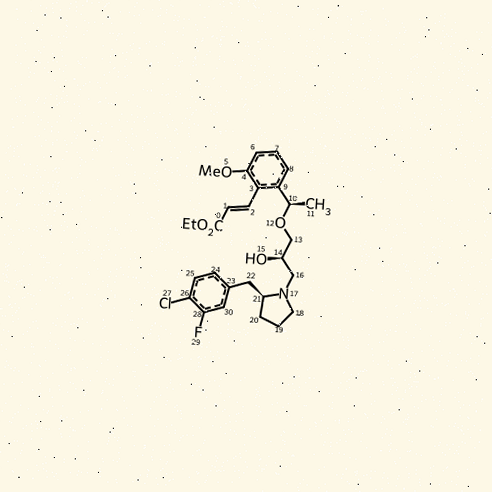 CCOC(=O)/C=C/c1c(OC)cccc1[C@@H](C)OC[C@H](O)CN1CCC[C@H]1Cc1ccc(Cl)c(F)c1